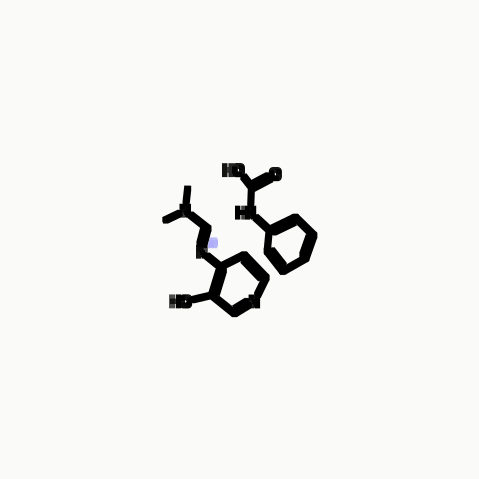 CN(C)/C=N/c1ccncc1O.O=C(O)Nc1ccccc1